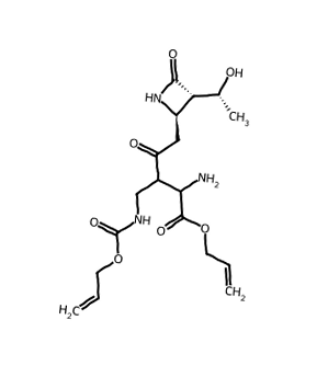 C=CCOC(=O)NCC(C(=O)C[C@H]1NC(=O)[C@@H]1[C@@H](C)O)C(N)C(=O)OCC=C